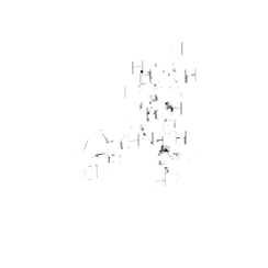 CC1(C)[C@@H]2C[C@H]3OB([C@H](Cc4coc5c(Cl)cccc45)NC(=O)[C@@H]4C[C@H]5CC[C@@H]4O5)O[C@@]3(C)[C@H]1C2